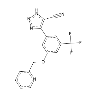 N#Cc1[nH]nnc1-c1cc(OCc2ccccn2)cc(C(F)(F)F)c1